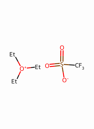 CC[O+](CC)CC.O=S(=O)([O-])C(F)(F)F